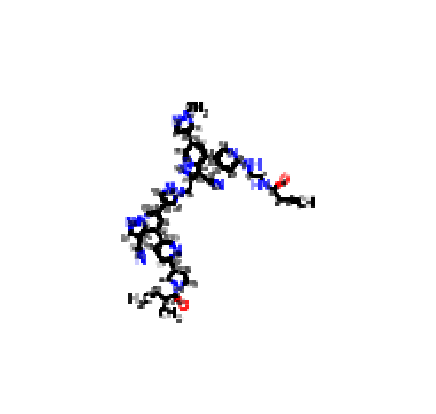 C#CCC(=O)NCCNc1ccc(-c2cc(-c3cnn(C)c3)cn3nc(Cn4cc(-c5cc(-c6ccc(C7CCN(C(=O)C(C)C=C)C7)nc6)c6c(C#N)cnn6c5)cn4)c(C#N)c23)cn1